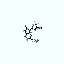 CC1(C)OC(=C2C(=O)Nc3ccc(C(=O)O)cc32)C=C1Br